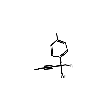 CC(C)C(O)(C#CI)c1ccc(Cl)cc1